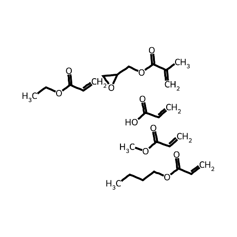 C=C(C)C(=O)OCC1CO1.C=CC(=O)O.C=CC(=O)OC.C=CC(=O)OCC.C=CC(=O)OCCCC